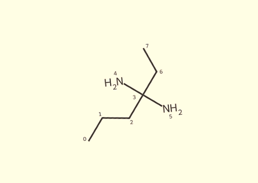 CCCC(N)(N)CC